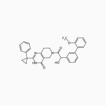 O=C(C(O)c1cccc(-c2ccccc2OC(F)(F)F)c1)N1CCc2nc(C3(c4ccccc4)CC3)[nH]c(=O)c2C1